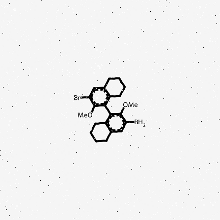 Bc1cc2c(c(-c3c4c(cc(Br)c3OC)CCCC4)c1OC)CCCC2